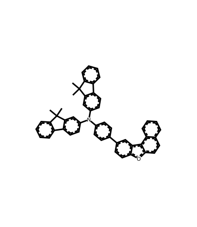 CC1(C)c2ccccc2-c2ccc(N(c3ccc(-c4ccc5oc6ccc7ccccc7c6c5c4)cc3)c3ccc4c(c3)C(C)(C)c3ccccc3-4)cc21